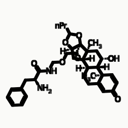 CCCC1O[C@@H]2C[C@H]3[C@@H]4CCC5=CC(=O)C=C[C@]5(C)[C@H]4[C@@H](O)C[C@]3(C)[C@]2(C(=O)COCNC(=O)[C@@H](N)Cc2ccccc2)O1